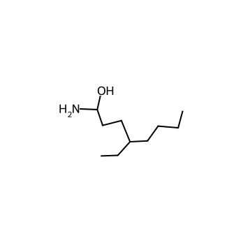 CCCCC(CC)CCC(N)O